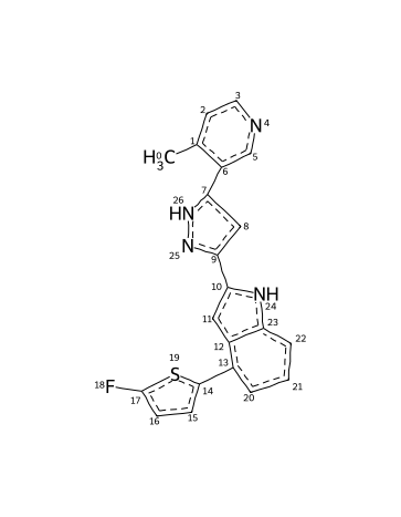 Cc1ccncc1-c1cc(-c2cc3c(-c4ccc(F)s4)cccc3[nH]2)n[nH]1